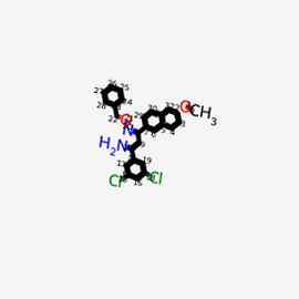 COc1ccc2cc(C(/C=C(\N)c3cc(Cl)cc(Cl)c3)=N\OCc3ccccc3)ccc2c1